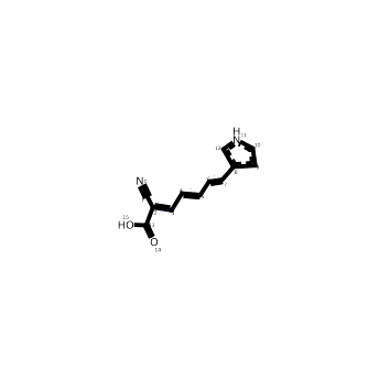 N#C\C(=C/C=C/C=C/c1cc[nH]c1)C(=O)O